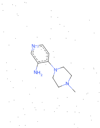 CN1CCN(c2ccncc2N)CC1